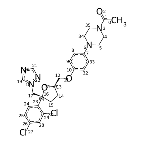 CC(=O)N1CCN(c2ccc(OC[C@H]3CC[C@](Cn4cncn4)(c4ccc(Cl)cc4Cl)O3)cc2)CC1